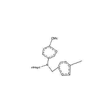 CCCCCCCN(Cc1ccc(C)cc1)c1ccc(OC)cc1